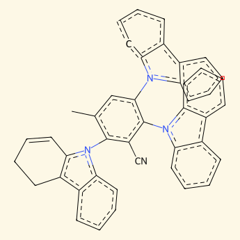 Cc1cc(-n2c3ccccc3c3ccccc32)c(-n2c3ccccc3c3ccccc32)c(C#N)c1-n1c2c(c3ccccc31)CCC=C2